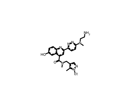 CCn1ncc(CN(C)C(=O)c2cc(-c3ccc(N(C)CCN)nn3)nc3ccc(O)cc23)c1C